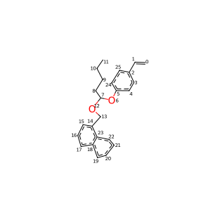 C=Cc1ccc(OC(CCCC)OCc2cccc3ccccc23)cc1